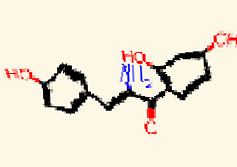 N/C(=C\c1ccc(O)cc1)C(=O)c1ccc(O)cc1O